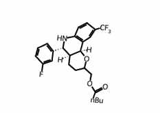 CCCCC(=O)OCC1CC[C@@H]2[C@H](O1)c1cc(C(F)(F)F)ccc1N[C@H]2c1cccc(F)c1